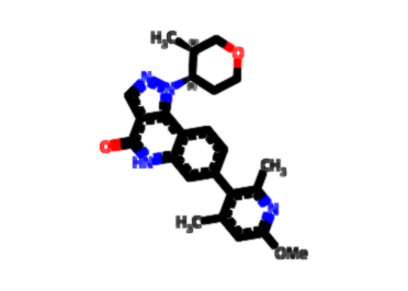 COc1cc(C)c(-c2ccc3c(c2)[nH]c(=O)c2cnn([C@@H]4CCOC[C@@H]4C)c23)c(C)n1